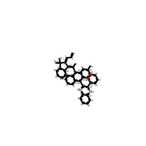 C=C/C=C1\C(=C(/C)c2c3ccccc3c(-c3nc4ccccc4nc3-c3ccccc3)c3ccc(C)cc23)c2ccccc2C1(C)C